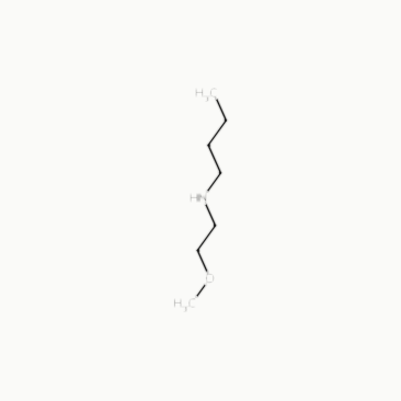 CCCCNCCOC